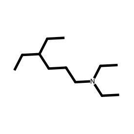 CCC(CC)CCCN(CC)CC